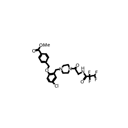 COC(=O)c1ccc(COc2ccc(Cl)cc2CN2CCN(C(=O)CNC(=O)C(F)(F)C(F)F)CC2)cc1